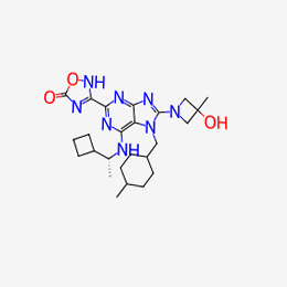 CC1CCC(Cn2c(N3CC(C)(O)C3)nc3nc(-c4nc(=O)o[nH]4)nc(N[C@H](C)C4CCC4)c32)CC1